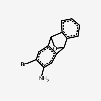 Nc1cc2c(cc1Br)C1OC2c2ccccc21